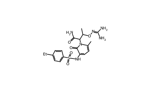 CCc1ccc(S(=O)(=O)Nc2ccc(C)n(C(C(N)=O)C(C)ON=C(N)N)c2=O)cc1